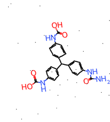 NC(=O)Nc1ccc(C(c2ccc(NC(=O)O)cc2)c2ccc(NC(=O)O)cc2)cc1